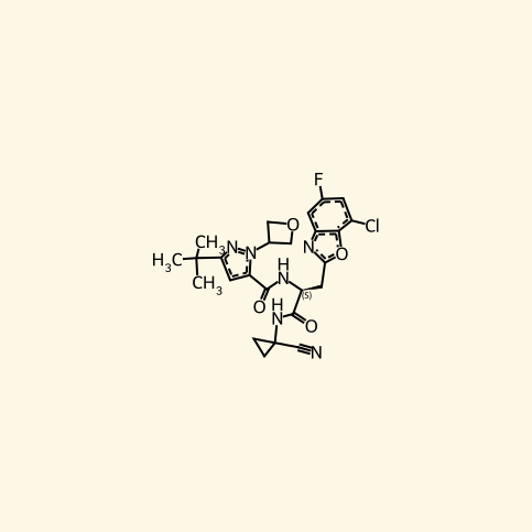 CC(C)(C)c1cc(C(=O)N[C@@H](Cc2nc3cc(F)cc(Cl)c3o2)C(=O)NC2(C#N)CC2)n(C2COC2)n1